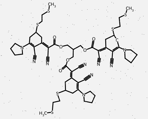 CSCCSC1CC(N2CCCC2)=C(C#N)/C(=C(\C#N)C(=O)OCC(COC(=O)/C(C#N)=C2\CC(SCCSC)CC(N3CCCC3)=C2C#N)COC(=O)/C(C#N)=C2\CC(SCCSC)CC(N3CCCC3)=C2C#N)C1